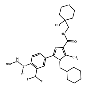 Cc1c(C(=O)NCC2(O)CCOCC2)cc(-c2ccc([S+]([O-])NC(C)(C)C)c(C(F)F)c2)n1CC1CCCCC1